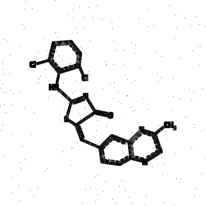 Cc1cnc2ccc(C=C3SC(Nc4c(Cl)cccc4Cl)=NC3=O)cc2n1